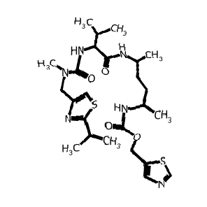 CC(CCC(C)NC(=O)C(NC(=O)N(C)Cc1csc(C(C)C)n1)C(C)C)NC(=O)OCc1cncs1